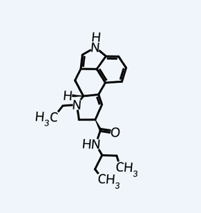 CCC(CC)NC(=O)[C@@H]1C=C2c3cccc4[nH]cc(c34)C[C@H]2N(CC)C1